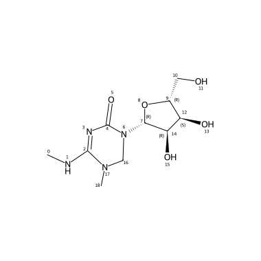 CNC1=NC(=O)N([C@@H]2O[C@H](CO)[C@@H](O)[C@H]2O)CN1C